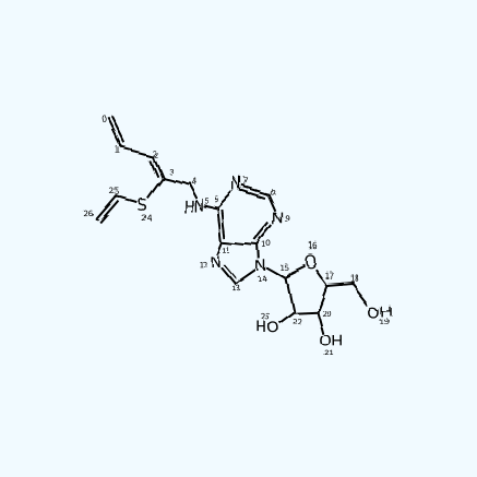 C=C/C=C(/CNc1ncnc2c1ncn2C1OC(CO)C(O)C1O)SC=C